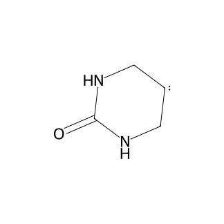 O=C1NC[C]CN1